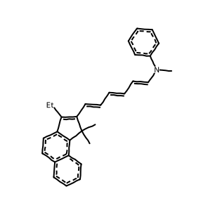 CCC1=C(/C=C/C=C/C=C/N(C)c2ccccc2)C(C)(C)c2c1ccc1ccccc21